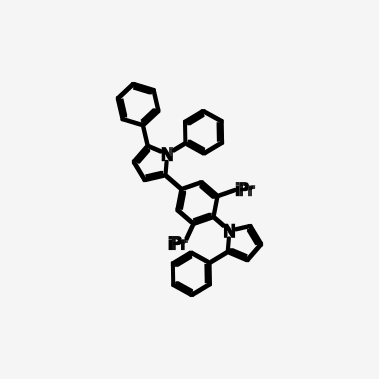 CC(C)c1cc(-c2ccc(-c3ccccc3)n2-c2ccccc2)cc(C(C)C)c1-n1cccc1-c1ccccc1